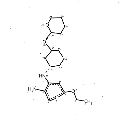 CCOc1ccc(N)c(N[C@H]2CCCC(O[C@@H]3CCCCO3)C2)c1